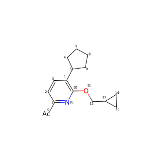 CC(=O)c1ccc(C2CCCC2)c(OCC2CC2)n1